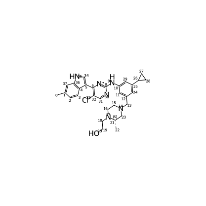 Cc1ccc2c(-c3nc(Nc4cc(CN5CCN(CCO)[C@@H](C)C5)cc(C5CC5)c4)ncc3Cl)c[nH]c2c1